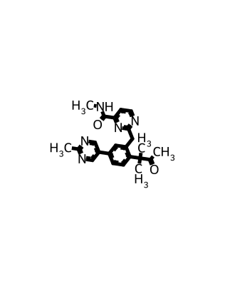 CNC(=O)c1ccnc(Cc2cc(-c3cnc(C)nc3)ccc2C(C)(C)C(C)=O)n1